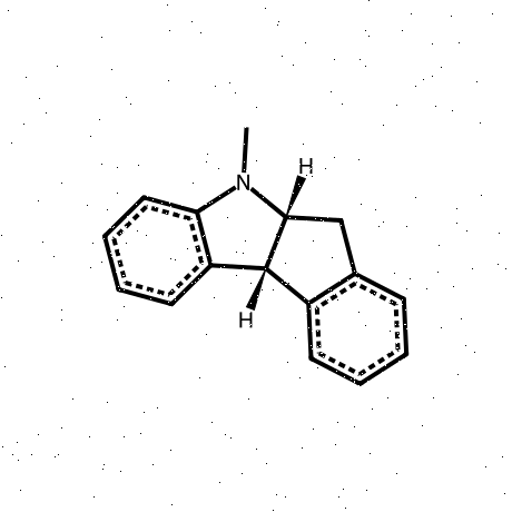 CN1c2ccccc2[C@H]2c3ccccc3C[C@H]21